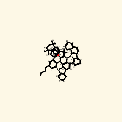 CCCCc1ccc(C2C3=C(B4c5c(cc6c(oc7ccccc76)c52)-c2cccc5c6ccc7ccccc7c6n4c25)C(C)(C)c2cc4c(cc23)C(C)(C)CCC4(C)C)c(-c2ccccc2)c1